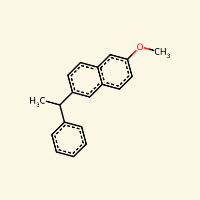 COc1ccc2cc(C(C)c3ccccc3)ccc2c1